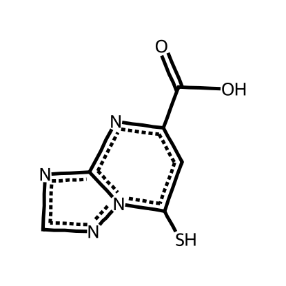 O=C(O)c1cc(S)n2ncnc2n1